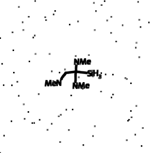 CNCC([SiH3])(NC)NC